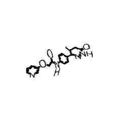 CC1CC(=O)NN=C1c1ccc(NC(=O)COc2cccnc2)cc1